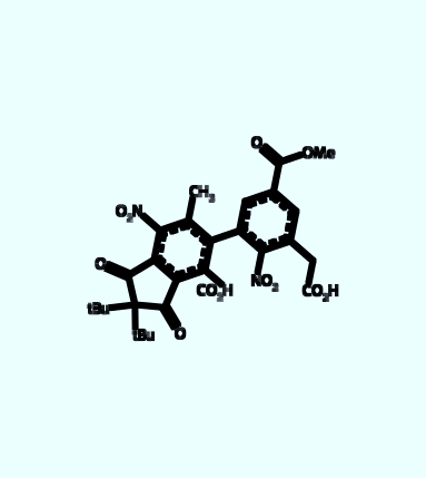 COC(=O)c1cc(CC(=O)O)c([N+](=O)[O-])c(-c2c(C)c([N+](=O)[O-])c3c(c2C(=O)O)C(=O)C(C(C)(C)C)(C(C)(C)C)C3=O)c1